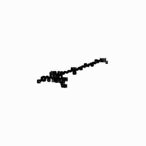 NCCOCCOCCOCCOCCNC(=O)CCCCCCO[C@]1(C(=O)O)C[C@H](O)[C@@H](NC(=O)CO)[C@H]([C@H](O)[C@H](O)CNC(=O)Cc2ccc(Cl)cc2)O1